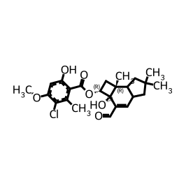 COc1cc(O)c(C(=O)O[C@@H]2C[C@]3(C)C4CC(C)(C)CC4C=C(C=O)[C@]23O)c(C)c1Cl